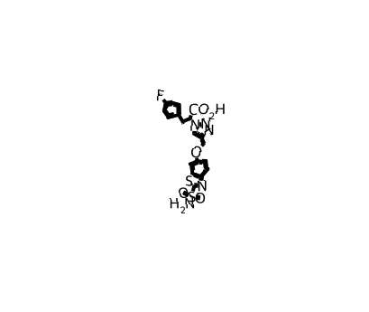 NS(=O)(=O)c1nc2ccc(OCc3cn(C(Cc4ccc(F)cc4)C(=O)O)nn3)cc2s1